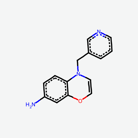 Nc1ccc2c(c1)OC=CN2Cc1cccnc1